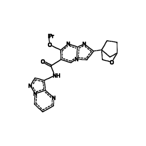 CC(C)Oc1nc2nc(C34CCC(C3)OC4)cn2cc1C(=O)Nc1cnn2cccnc12